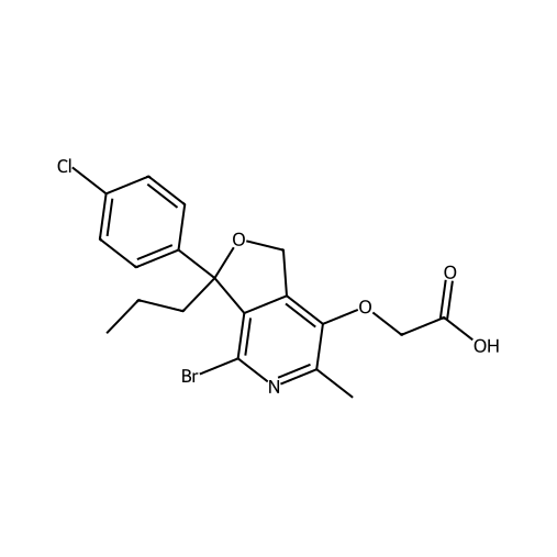 CCCC1(c2ccc(Cl)cc2)OCc2c(OCC(=O)O)c(C)nc(Br)c21